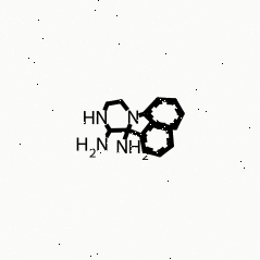 NC1NCCN(c2ccccc2)C1(N)c1ccccc1